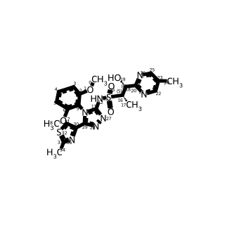 COc1cccc(OC)c1-n1c(NS(=O)(=O)[C@@H](C)[C@H](O)c2ncc(C)cn2)nnc1-c1csc(C)n1